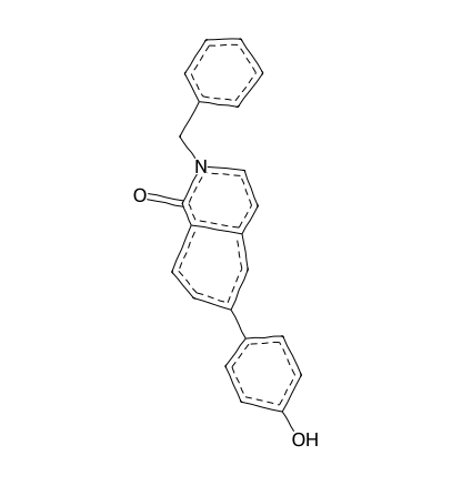 O=c1c2ccc(-c3ccc(O)cc3)cc2ccn1Cc1ccccc1